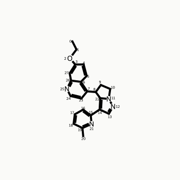 CCOc1ccc2c(C3CCn4ncc(-c5cccc(C)n5)c43)ccnc2c1